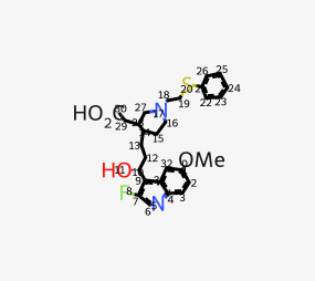 COc1ccc2ncc(F)c([C@H](O)CCC3CCN(CCSc4ccccc4)CC3CC(=O)O)c2c1